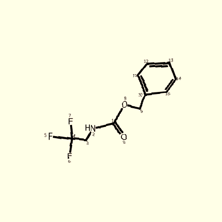 O=C(NCC(F)(F)F)OCc1ccccc1